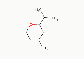 C[C]1CCOC(C(C)C)C1